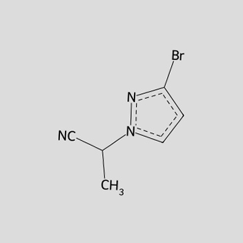 CC(C#N)n1ccc(Br)n1